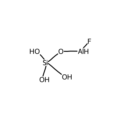 O[Si](O)(O)[O][AlH][F]